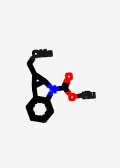 COCC1C2c3ccccc3N(C(=O)OC(C)(C)C)C12